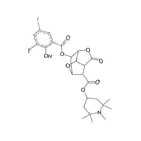 CN1C(C)(C)CC(OC(=O)C2C3OC4C(OC(=O)C42)C3OC(=O)c2cc(I)cc(I)c2O)CC1(C)C